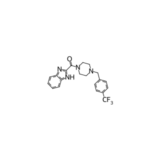 O=C(c1nc2ccccc2[nH]1)N1CCN(Cc2ccc(C(F)(F)F)cc2)CC1